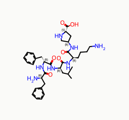 CC(C)C[C@@H](NC(=O)[C@@H](Cc1ccccc1)NC(=O)[C@H](N)Cc1ccccc1)C(=O)N[C@H](CCCCN)C(=O)N[C@H]1CN[C@H](C(=O)O)C1